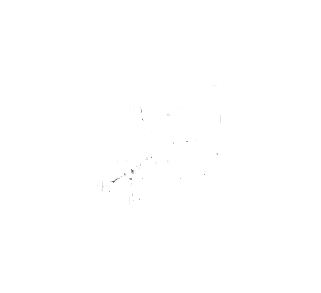 C=C/C=C(\c1ccccc1C)[C@H](O)C1CC2CCN1C[C@@H]2CC